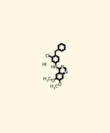 COc1cc2ncnc(Nc3ccc(Cc4ccccc4)c(Cl)c3)c2cc1OC.I